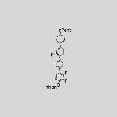 CCCCCCCCCOc1ccc(-c2ccc(-c3ccc(C4=CCC(CCCCC)CC4)cc3F)cc2)c(F)c1F